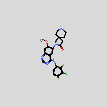 COc1cc2ncnc(Nc3ccc(F)c(Cl)c3F)c2cc1N1CC2(CCNCC2)CC1=O